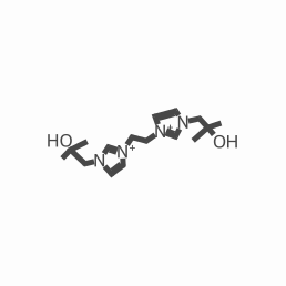 CC(C)(O)Cn1cc[n+](CC[n+]2ccn(CC(C)(C)O)c2)c1